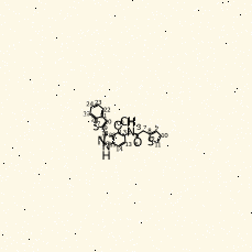 COc1c(NC(=O)Cc2cccs2)ccc2[nH]nc(-c3cc4ccccc4s3)c12